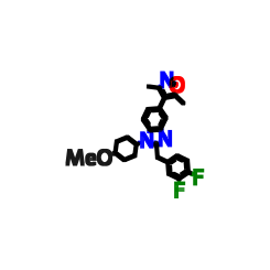 COC1CCC(n2c(Cc3ccc(F)c(F)c3)nc3cc(-c4c(C)noc4C)ccc32)CC1